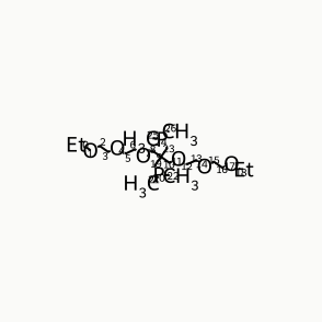 CCOCCOCCOCC(COCCOCCOCC)(CP(C)C)CP(C)C